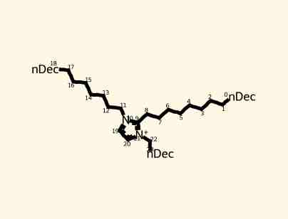 CCCCCCCCCCCCCCCCCCc1n(CCCCCCCCCCCCCCCCC)cc[n+]1CCCCCCCCCCC